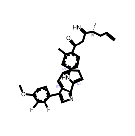 C=CC[C@@H](C)C(=N)CC(=O)c1ccc(N/C2=C\C/C=C\C=C3\C(c4ccc(OC)c(F)c4F)=CN=C23)cc1C